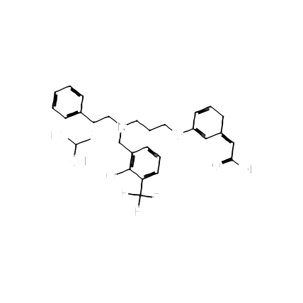 CC(C)C[C@@H](CN(CCCOC1=CC(=CC(=O)O)CC=C1)Cc1cccc(C(F)(F)F)c1Cl)c1ccccc1